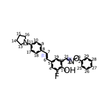 Oc1c(F)cc(/C=C/c2ccc(N3CCCC3)cc2)cc1/C=N/Oc1ccccc1